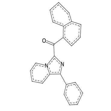 O=C(c1cccc2ccccc12)c1nc(-c2ccccc2)c2ccccn12